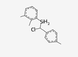 Cc1ccc(C(Cl)[SiH2]c2cccc(C)c2C)cc1